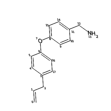 C=CCc1ccc(Oc2ccc(CN)cc2)cc1